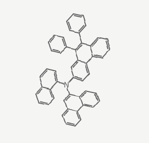 c1ccc(-c2c(-c3ccccc3)c3cc(N(c4cccc5ccccc45)c4cc5ccccc5c5ccccc45)ccc3c3ccccc23)cc1